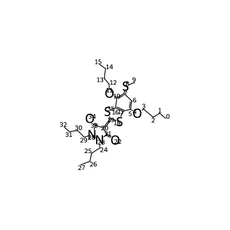 CCCCOc1cc(SC)c(OCCCC)c2c1SC(=C1C(=O)N(CCCC)N(CCCC)C1=O)S2